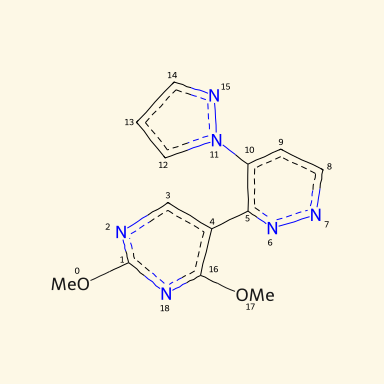 COc1ncc(-c2nnccc2-n2cccn2)c(OC)n1